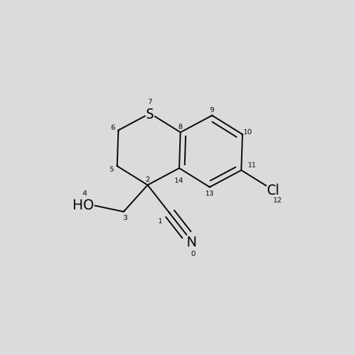 N#CC1(CO)CCSc2ccc(Cl)cc21